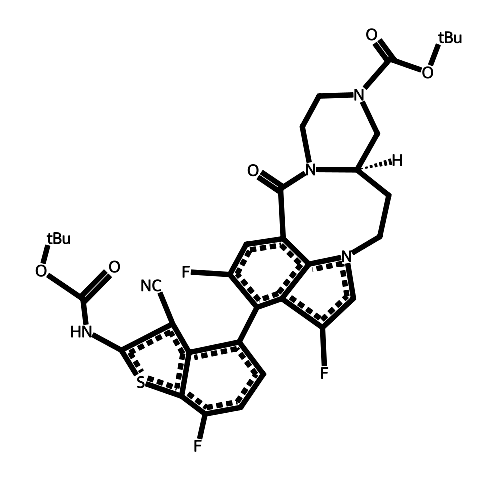 CC(C)(C)OC(=O)Nc1sc2c(F)ccc(-c3c(F)cc4c5c3c(F)cn5CC[C@@H]3CN(C(=O)OC(C)(C)C)CCN3C4=O)c2c1C#N